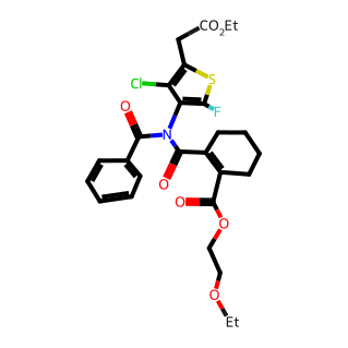 CCOCCOC(=O)C1=C(C(=O)N(C(=O)c2ccccc2)c2c(F)sc(CC(=O)OCC)c2Cl)CCCC1